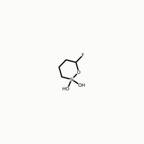 O[Si]1(O)CCCC(F)O1